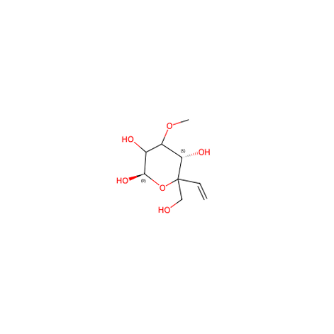 C=CC1(CO)O[C@@H](O)C(O)C(OC)[C@@H]1O